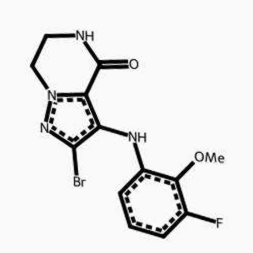 COc1c(F)cccc1Nc1c(Br)nn2c1C(=O)NCC2